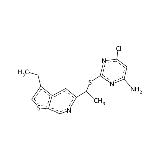 CCc1csc2cnc(C(C)Sc3nc(N)cc(Cl)n3)cc12